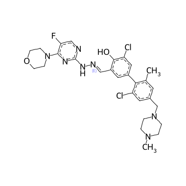 Cc1cc(CN2CCN(C)CC2)cc(Cl)c1-c1cc(Cl)c(O)c(/C=N/Nc2ncc(F)c(N3CCOCC3)n2)c1